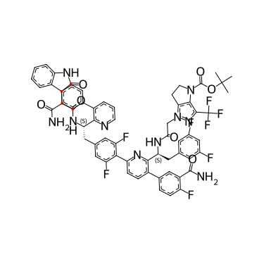 CC(C)(C)OC(=O)N1CCc2c1c(C(F)(F)F)nn2CC(=O)N[C@@H](Cc1cc(F)cc(F)c1)c1nc(-c2c(F)cc(C[C@H](NC(=O)CC3C(=O)Nc4ccccc43)c3ncccc3-c3cccc(C(N)=O)c3)cc2F)ccc1-c1ccc(F)c(C(N)=O)c1